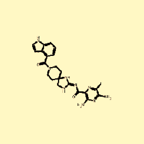 Nc1nc(N)c(C(=O)/N=C2\NCC3(CCN(C(=O)c4cccc5[nH]ccc45)CC3)N2)nc1I